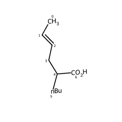 CC=CCC(CCCC)C(=O)O